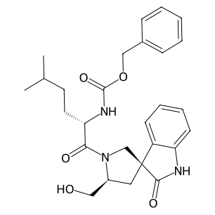 CC(C)CC[C@H](NC(=O)OCc1ccccc1)C(=O)N1C[C@]2(C[C@H]1CO)C(=O)Nc1ccccc12